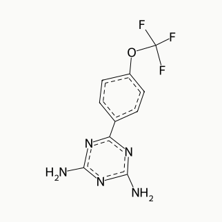 Nc1nc(N)nc(-c2ccc(OC(F)(F)F)cc2)n1